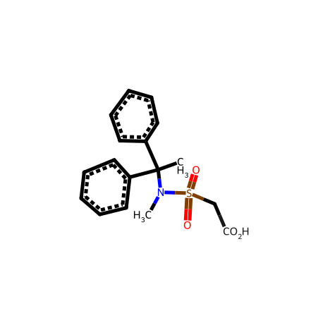 CN(C(C)(c1ccccc1)c1ccccc1)S(=O)(=O)CC(=O)O